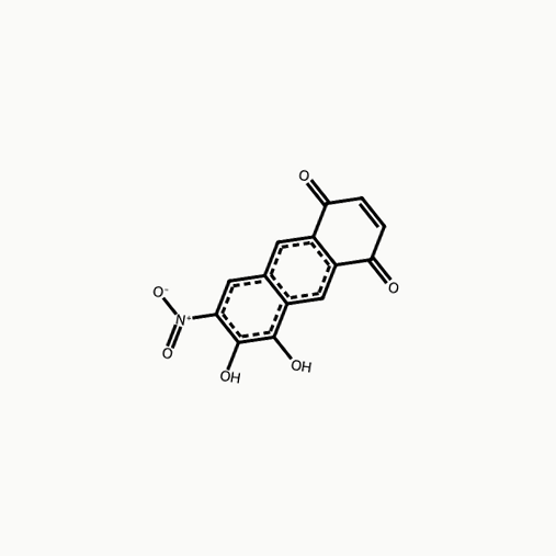 O=C1C=CC(=O)c2cc3c(O)c(O)c([N+](=O)[O-])cc3cc21